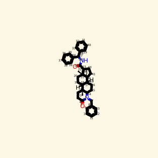 C[C@]12CCC(=O)N(Cc3ccccc3)C1CC[C@@H]1[C@H]2CC[C@]2(C)C(C(=O)NC(c3ccccc3)c3ccccc3)CC[C@@H]12